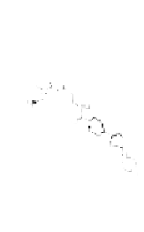 CC(CCNC(=O)c1ccc(-c2csc(N3CCN(C)CC3)n2)cc1)CC(=O)N(C)CC#N